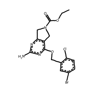 CCOC(=O)N1Cc2nc(N)nc(OCc3cc(Br)ccc3Cl)c2C1